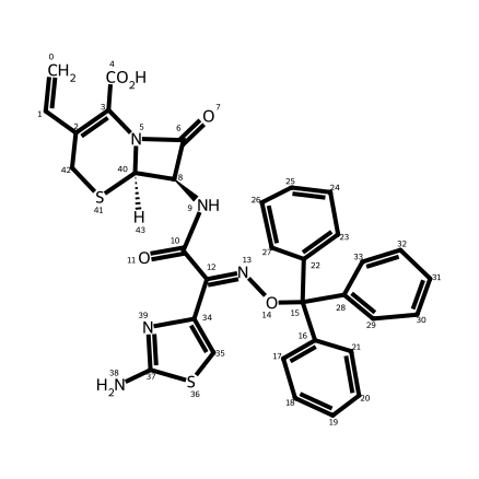 C=CC1=C(C(=O)O)N2C(=O)[C@@H](NC(=O)C(=NOC(c3ccccc3)(c3ccccc3)c3ccccc3)c3csc(N)n3)[C@H]2SC1